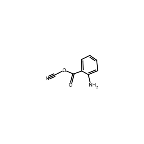 N#COC(=O)c1ccccc1N